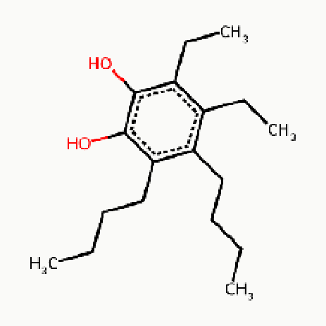 CCCCc1c(O)c(O)c(CC)c(CC)c1CCCC